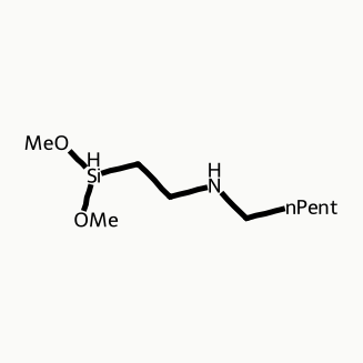 CCCCCCNCC[SiH](OC)OC